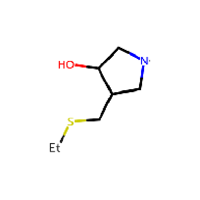 CCSCC1C[N]CC1O